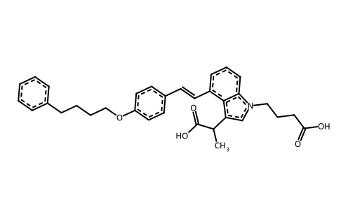 CC(C(=O)O)c1cn(CCCC(=O)O)c2cccc(/C=C/c3ccc(OCCCCc4ccccc4)cc3)c12